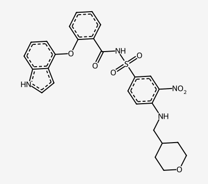 O=C(NS(=O)(=O)c1ccc(NCC2CCOCC2)c([N+](=O)[O-])c1)c1ccccc1Oc1cccc2[nH]ccc12